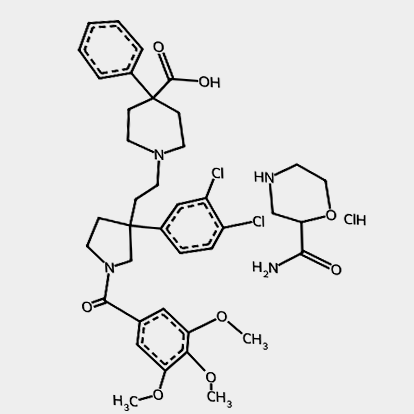 COc1cc(C(=O)N2CCC(CCN3CCC(C(=O)O)(c4ccccc4)CC3)(c3ccc(Cl)c(Cl)c3)C2)cc(OC)c1OC.Cl.NC(=O)C1CNCCO1